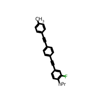 CCCc1ccc(C#Cc2ccc(C#Cc3ccc(C)cc3)cc2)cc1F